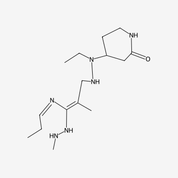 CC/C=N\C(NNC)=C(\C)CNN(CC)C1CCNC(=O)C1